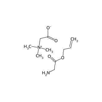 C=CCOC(=O)CN.C[N+](C)(C)CC(=O)[O-]